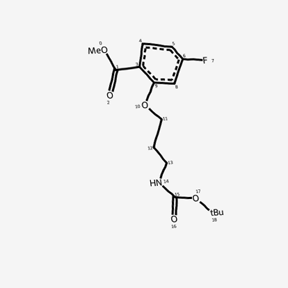 COC(=O)c1ccc(F)cc1OCCCNC(=O)OC(C)(C)C